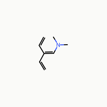 C=CC(C=C)=CN(C)C